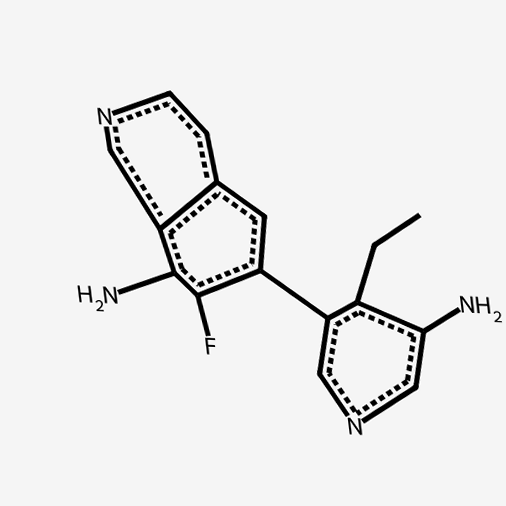 CCc1c(N)cncc1-c1cc2ccncc2c(N)c1F